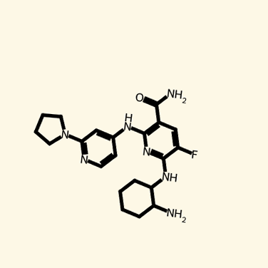 NC(=O)c1cc(F)c(NC2CCCCC2N)nc1Nc1ccnc(N2CCCC2)c1